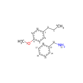 CCCc1ccc(OC)cc1.NCc1ccccc1